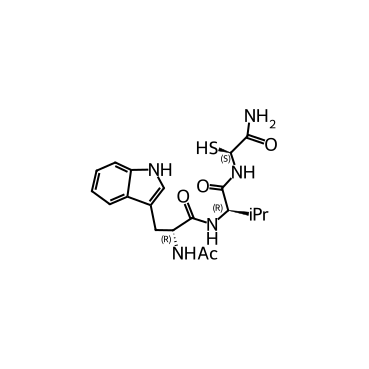 CC(=O)N[C@H](Cc1c[nH]c2ccccc12)C(=O)N[C@@H](C(=O)N[C@@H](S)C(N)=O)C(C)C